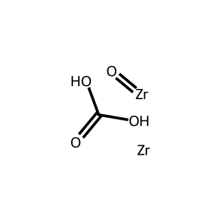 O=C(O)O.[O]=[Zr].[Zr]